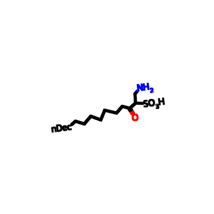 CCCCCCCCCCCCCCCCCC(=O)C(CN)S(=O)(=O)O